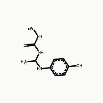 CCCNC(=O)NC(N)Nc1ccc(O)cc1